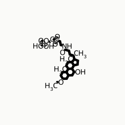 CCOC1CCC2(C)C(C1)CC(O)C1C2CCC2(C)C(C(C)CCC(=O)NCCS(=O)(=O)OCOP(=O)(O)O)CCC12